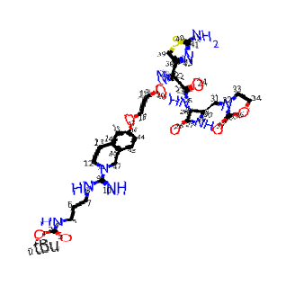 CC(C)(C)OC(=O)NCCCNC(=N)N1CCc2cc(OCCO/N=C(\C(=O)N[C@@H]3C(=O)N[C@@H]3CN3CCOC3=O)c3csc(N)n3)ccc2C1